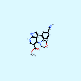 COC(=O)c1cnc2[nH]cc(-c3cccc(C#N)c3)c2c1N1CCOCC1